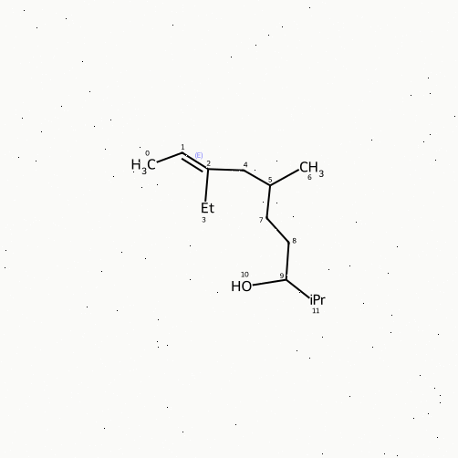 C/C=C(\CC)CC(C)CCC(O)C(C)C